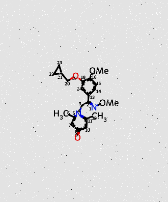 CON=C(Cn1c(C)cc(=O)cc1C)c1ccc(OC)c(OCC2CC2)c1